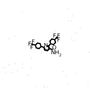 NC(=O)c1ccc(C2CCC(C(F)(F)F)CC2)nc1C1CCC(C(F)(F)F)CC1